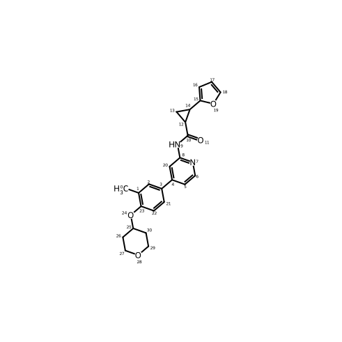 Cc1cc(-c2ccnc(NC(=O)C3CC3c3ccco3)c2)ccc1OC1CCOCC1